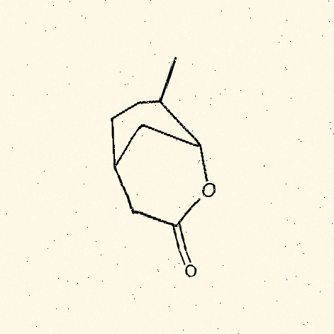 CC1CC2CC(=O)OC1C2